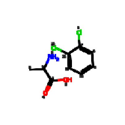 CC(N)C(=O)O.Clc1ccccc1Cl